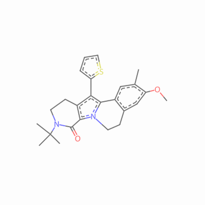 COc1cc2c(cc1C)-c1c(-c3cccs3)c3c(n1CC2)C(=O)N(C(C)(C)C)CC3